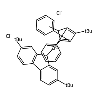 CC1[C]([Zr+2][CH]2c3cc(C(C)(C)C)ccc3-c3ccc(C(C)(C)C)cc32)=C2C(C(C)(C)C)=C1C2(c1ccccc1)c1ccccc1.[Cl-].[Cl-]